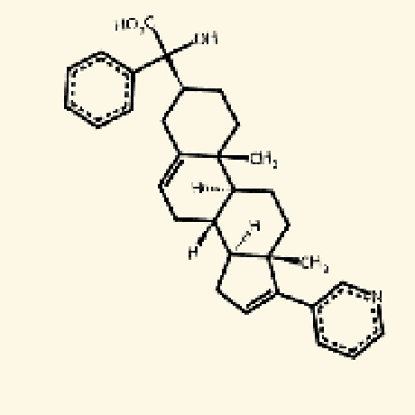 C[C@]12CC[C@H](C(O)(C(=O)O)c3ccccc3)CC1=CC[C@@H]1[C@@H]2CC[C@]2(C)C(c3cccnc3)=CC[C@@H]12